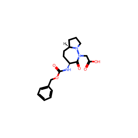 O=C(O)CN1C(=O)[C@@H](NC(=O)OCc2ccccc2)CC[C@H]2CCCN21